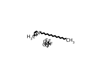 CCCCCCCCCCCCCCCC[n+]1ccn(C)c1.O=S(=O)([O-])C(F)(F)C(F)F